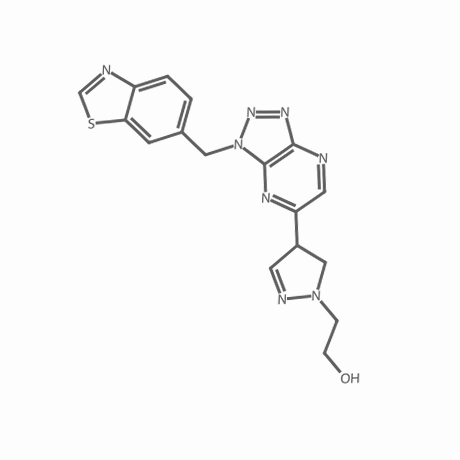 OCCN1CC(c2cnc3nnn(Cc4ccc5ncsc5c4)c3n2)C=N1